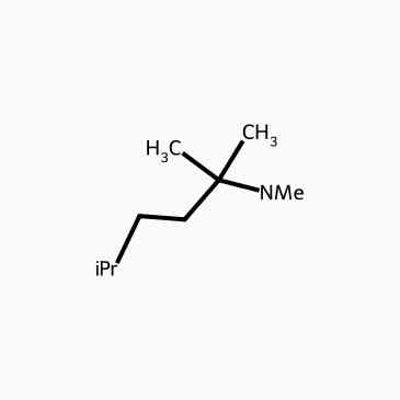 CNC(C)(C)CCC(C)C